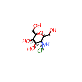 OCC1OC(CO)C(NCl)C(O)C1O